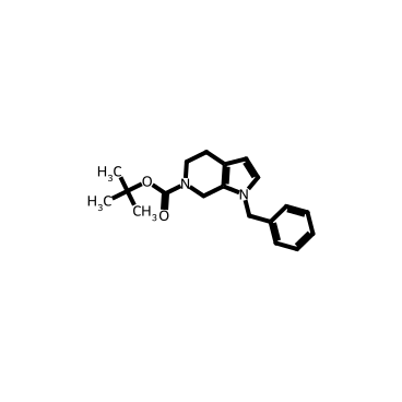 CC(C)(C)OC(=O)N1CCc2ccn(Cc3ccccc3)c2C1